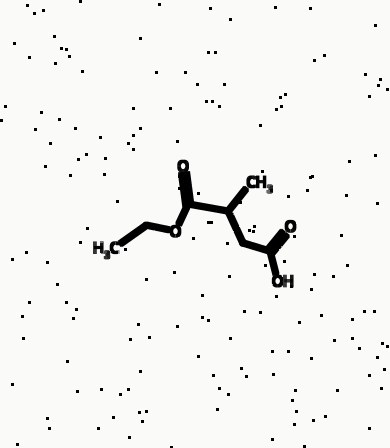 CCOC(=O)C(C)CC(=O)O